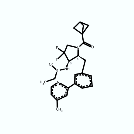 CC[S+]([O-])N[C@@H]1[C@H](Cc2cccc(-c3cc(C)ccn3)c2)N(C(=O)C23CC(C2)C3)CC1(F)F